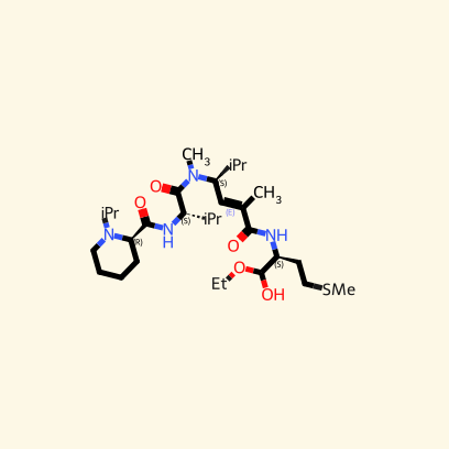 CCOC(O)[C@H](CCSC)NC(=O)/C(C)=C/[C@H](C(C)C)N(C)C(=O)[C@@H](NC(=O)[C@H]1CCCCN1C(C)C)C(C)C